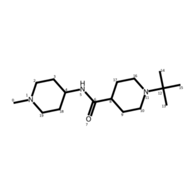 CN1CCC(NC(=O)C2CCN(C(C)(C)C)CC2)CC1